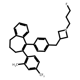 Cc1cc(C(F)(F)F)ccc1C1=C(c2ccc(CC3CN(CCCF)C3)cc2)c2ccccc2CCC1